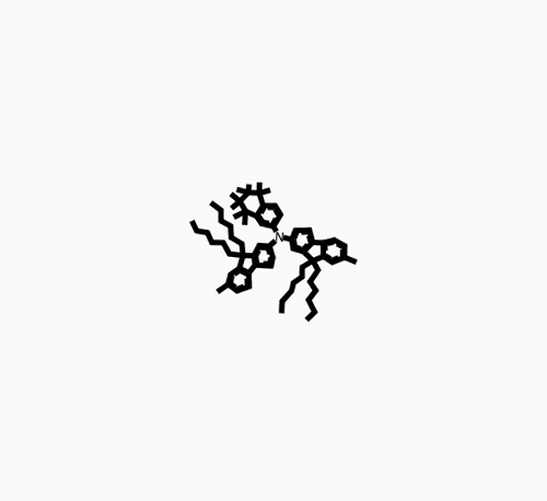 CCCCCCC1(CCCCCC)c2cc(C)ccc2-c2ccc(N(c3ccc4c(c3)C(CCCCCC)(CCCCCC)c3cc(C)ccc3-4)c3ccc4c(c3)C(C)(C)C(C)(C)C(C)(C)C4(C)C)cc21